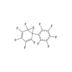 FC1=C(F)C2(F)SC2(c2c(F)c(F)c(F)c(F)c2F)C(F)=C1F